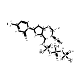 C[C@H](N=[N+]=[N-])O[C@@H]1CC(n2ccc(N)nc2=O)OC1COP(=O)(O)OP(=O)(O)OP(=O)(O)O